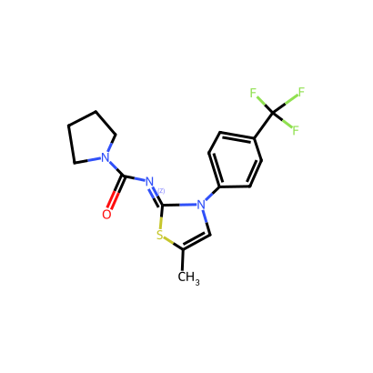 Cc1cn(-c2ccc(C(F)(F)F)cc2)/c(=N/C(=O)N2CCCC2)s1